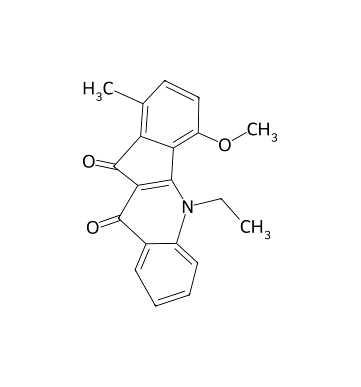 CCn1c2c(c(=O)c3ccccc31)C(=O)c1c(C)ccc(OC)c1-2